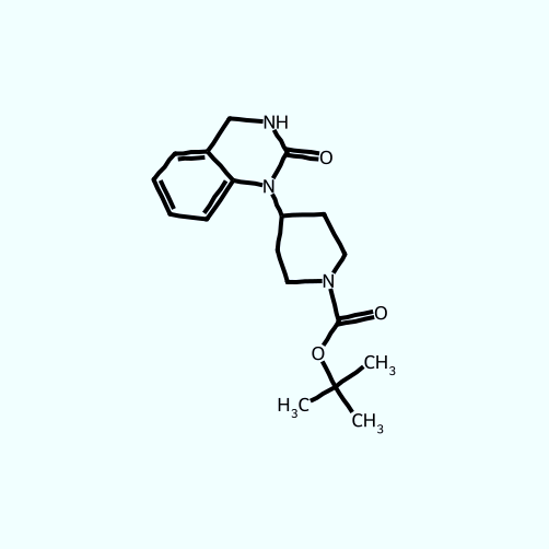 CC(C)(C)OC(=O)N1CCC(N2C(=O)NCc3ccccc32)CC1